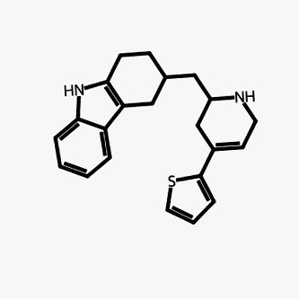 C1=C(c2cccs2)CC(CC2CCc3[nH]c4ccccc4c3C2)NC1